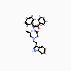 C=CCN(CCc1c[nH]c2ccccc12)Cc1nc(-c2ccccc2)c(-c2ccccc2)o1